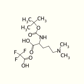 CN(C)CCCC(NC(=O)OC(C)(C)C)C(=O)O.O=C(O)C(F)(F)F